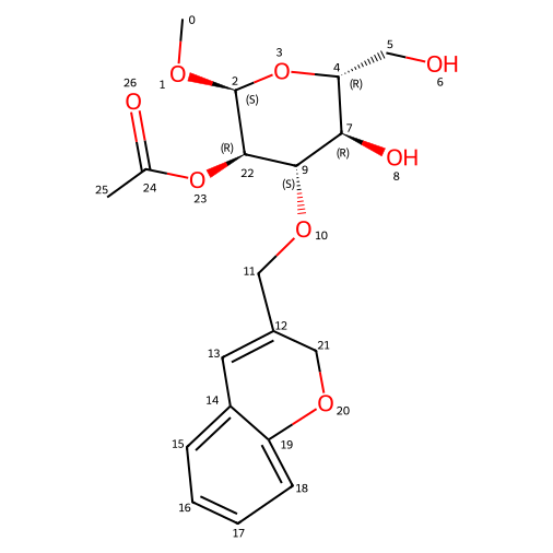 CO[C@H]1O[C@H](CO)[C@@H](O)[C@H](OCC2=Cc3ccccc3OC2)[C@H]1OC(C)=O